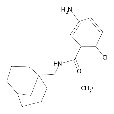 Nc1ccc(Cl)c(C(=O)NCC23CCCC(CCC2)C3)c1.[CH2]